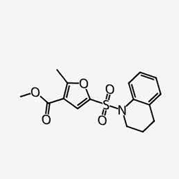 COC(=O)c1cc(S(=O)(=O)N2CCCc3ccccc32)oc1C